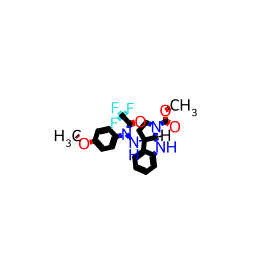 COC(=O)N1CC[C@]2(NN(C(=O)C(F)(F)F)c3ccc(OC)cc3)c3ccccc3N[C@H]12